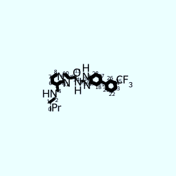 CC(C)CCNCc1cccn2cc(C(=O)Nc3nc4cc(-c5cccc(C(F)(F)F)c5)ccc4[nH]3)nc12